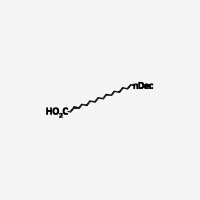 CCCCCCCCCCCCCCCCCCCCCCC/C=C/CC(=O)O